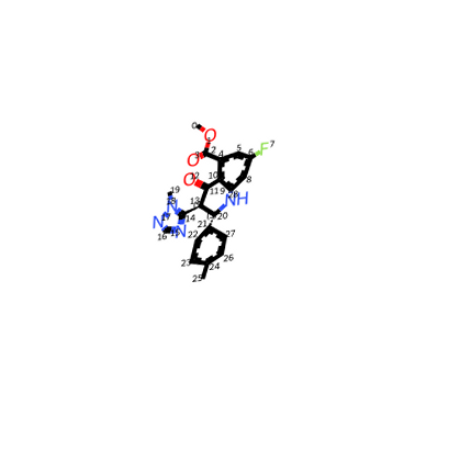 COC(=O)c1cc(F)cc2c1C(=O)[C@H](c1ncnn1C)[C@@H](c1ccc(C)cc1)N2